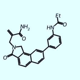 C=C(CN1Cc2c(ccc3ccc(-c4cccc(NC(=O)CC)c4)cc23)C1=O)C(N)=O